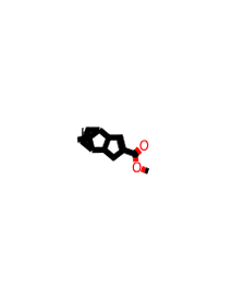 COC(=O)C1=CC2C(C1)C1C=CC2[C@@H]1C